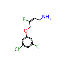 NC/C=C(/F)COc1cc(Cl)cc(Cl)c1